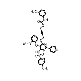 COc1ccccc1Oc1c(NS(=O)(=O)c2ccc(C)cn2)nc(-c2ccncc2)nc1OCC#CCOC(=O)Nc1cccc(C)c1